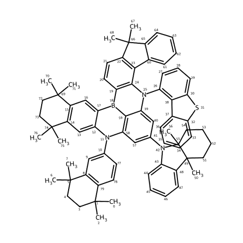 CC1(C)CCC(C)(C)c2cc(N3c4cc5c(cc4B4c6ccc7c(c6N(c6cccc8sc9ccccc9c68)c6cc(N8c9ccccc9C9(C)CCCCC89C)cc3c64)-c3ccccc3C7(C)C)C(C)(C)CCC5(C)C)ccc21